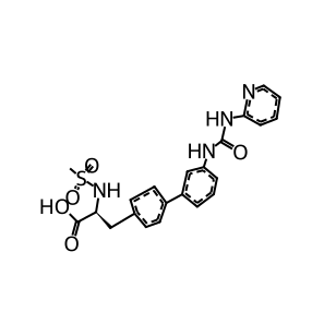 CS(=O)(=O)N[C@@H](Cc1ccc(-c2cccc(NC(=O)Nc3ccccn3)c2)cc1)C(=O)O